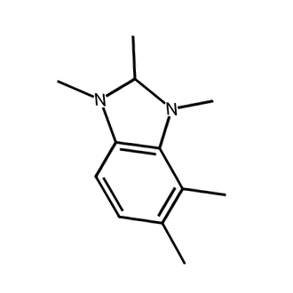 Cc1ccc2c(c1C)N(C)C(C)N2C